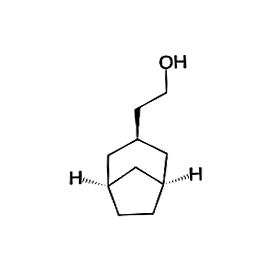 OCC[C@H]1C[C@H]2CC[C@@H](C1)C2